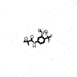 CC1(C(=O)Nc2ccc(C(F)(F)F)c([N+](=O)[O-])c2)CO1